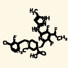 Cc1cc(Nc2nc(C[C@@]3(C(=O)O)CCN(Cc4cccc(Cl)c4F)[C@H](C)C3)c(F)c([C@H](C)F)c2F)n[nH]1